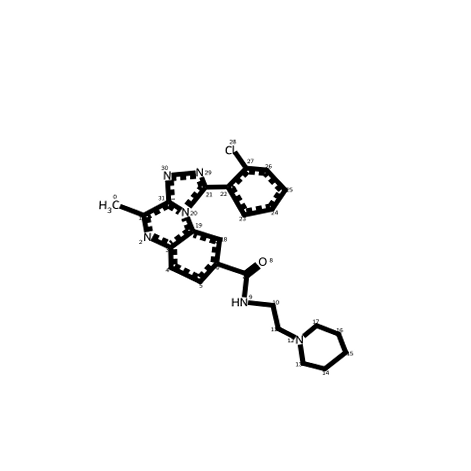 Cc1nc2ccc(C(=O)NCCN3CCCCC3)cc2n2c(-c3ccccc3Cl)nnc12